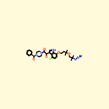 CC(C)(COC(C)(C)CCOc1ccc(F)c2c(C(=O)C(=O)N3CCN(C(=O)c4ccccc4)CC3)c[nH]c12)N=[N+]=[N-]